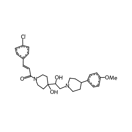 COc1ccc(C2CCN(CC(O)C3(O)CCN(C(=O)C=Cc4ccc(Cl)cc4)CC3)CC2)cc1